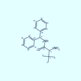 CC(C)(C)C(N)C(=O)NC(c1ccccc1)c1ccccc1